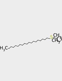 CCCCCCCCCCCCCCCCCCCCSC(C)(C)c1ccccc1